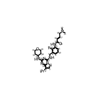 CC(C)c1cnn2c(NCc3cccc(NC(=O)/C=C/CN(C)C)c3F)nc(NC3CCOCC3)nc12